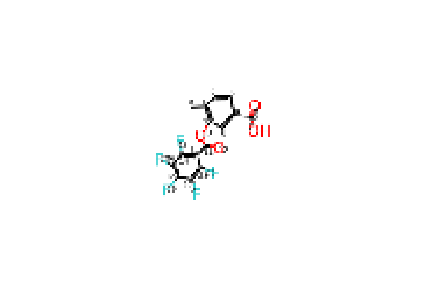 Cc1ccc(C(=O)O)cc1OC(=O)c1c(F)c(F)c(F)c(F)c1F